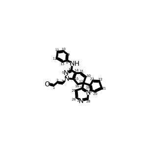 O=CC=Cn1nc(Nc2ccccc2)c2c1CC(c1ccccc1)(c1ccncn1)C=C2